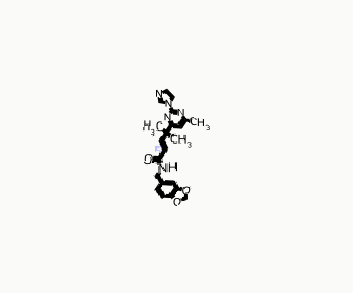 Cc1cc(C(C)(C)/C=C/C(=O)NCc2ccc3c(c2)OCO3)nc(N2C=NCC2)n1